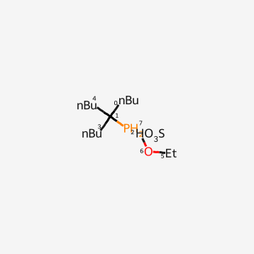 CCCCC(P)(CCCC)CCCC.CCOS(=O)(=O)O